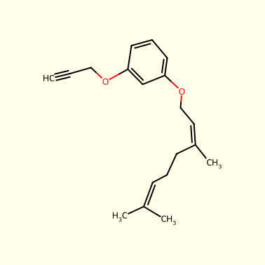 C#CCOc1cccc(OCC=C(C)CCC=C(C)C)c1